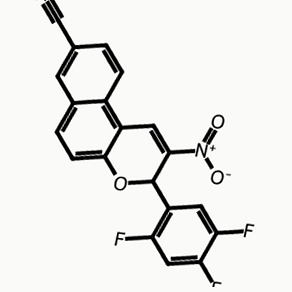 N#Cc1ccc2c3c(ccc2c1)OC(c1cc(F)c(F)cc1F)C([N+](=O)[O-])=C3